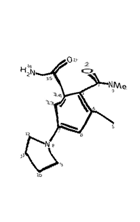 CNC(=O)c1c(C)cc(N2CCCC2)cc1C(N)=O